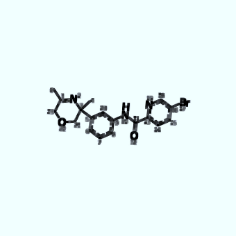 CC1=NC(C)(c2cccc(NC(=O)c3ccc(Br)cn3)c2)COC1